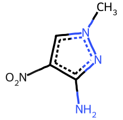 Cn1cc([N+](=O)[O-])c(N)n1